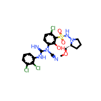 COC[C@H]1CCCN1NS(=O)(=O)c1c(Cl)ccc(N(C#N)C(=N)Nc2cccc(Cl)c2Cl)c1O